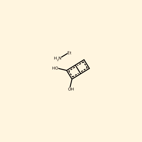 CCN.Oc1c2ccc-2c1O